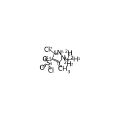 [2H]C([2H])([2H])n1nc(Cl)c(S(=O)(=O)Cl)c1C